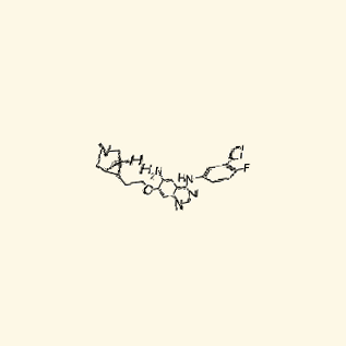 CN1CC2C(CCOc3cc4ncnc(Nc5ccc(F)c(Cl)c5)c4cc3N)[C@H]2C1